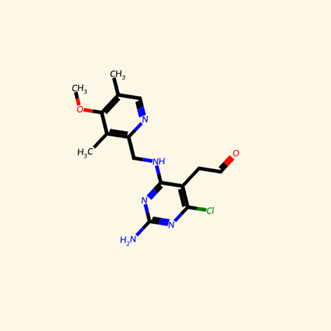 COc1c(C)cnc(CNc2nc(N)nc(Cl)c2CC=O)c1C